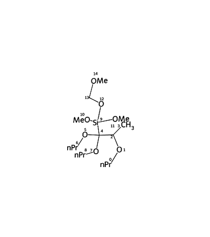 CCCOC(C)C(OCCC)(OCCC)[Si](OC)(OC)OCOC